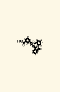 C=C1c2ccccc2C(=O)N1c1ccccc1-c1nnc(-c2cccc(C(=O)O)c2)o1